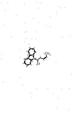 C/C=C\CC(CC)n1c2ccccc2c2ncccc21